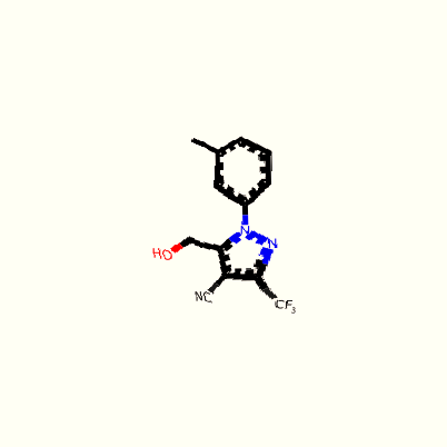 Cc1cccc(-n2nc(C(F)(F)F)c(C#N)c2CO)c1